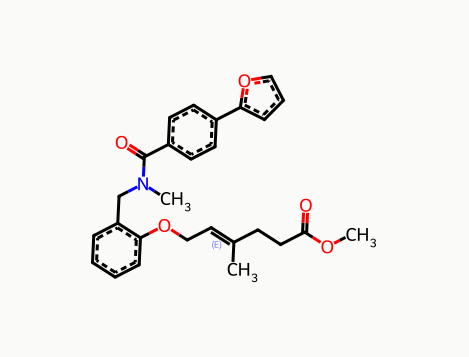 COC(=O)CC/C(C)=C/COc1ccccc1CN(C)C(=O)c1ccc(-c2ccco2)cc1